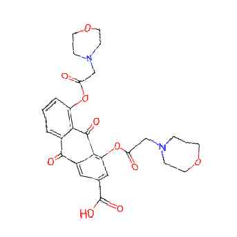 O=C(CN1CCOCC1)Oc1cccc2c1C(=O)c1c(OC(=O)CN3CCOCC3)cc(C(=O)O)cc1C2=O